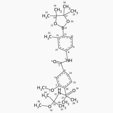 COc1cc(C(=O)Nc2ccc(B3OC(C)(C)C(C)(C)O3)c(C)c2)ccc1S(C)(C)(=O)NC(C)(C)OC